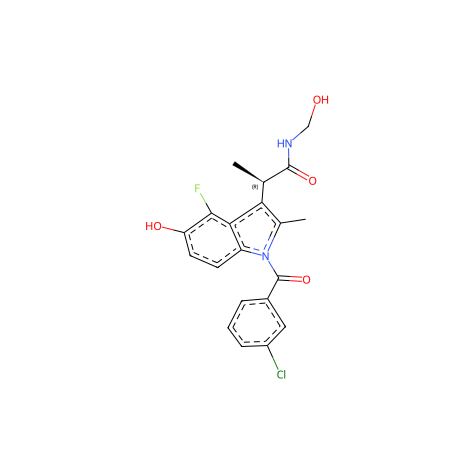 Cc1c([C@@H](C)C(=O)NCO)c2c(F)c(O)ccc2n1C(=O)c1cccc(Cl)c1